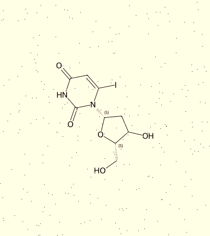 O=c1cc(I)n([C@@H]2CC(O)[C@H](CO)O2)c(=O)[nH]1